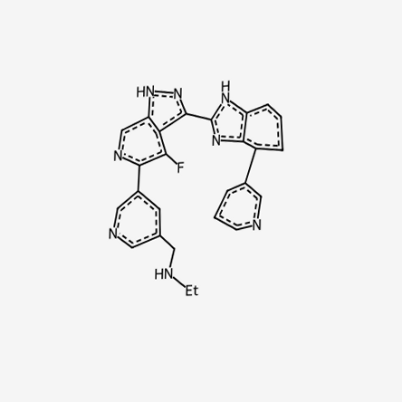 CCNCc1cncc(-c2ncc3[nH]nc(-c4nc5c(-c6cccnc6)cccc5[nH]4)c3c2F)c1